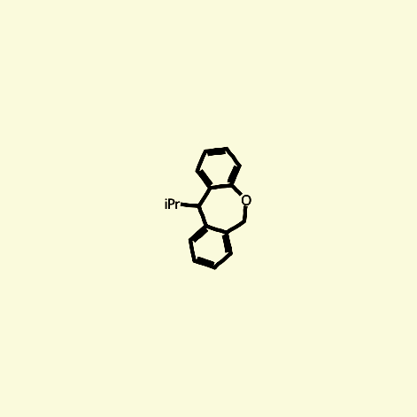 CC(C)C1c2ccccc2COc2ccccc21